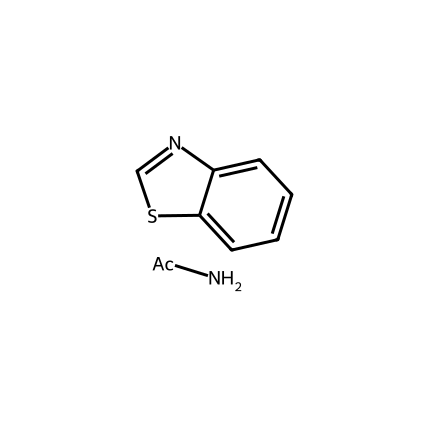 CC(N)=O.c1ccc2scnc2c1